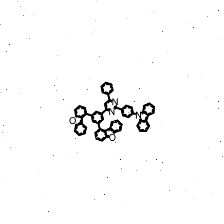 c1ccc(-c2cc(-c3cc(-c4cccc5oc6ccccc6c45)cc(-c4cccc5oc6ccccc6c45)c3)nc(-c3ccc(-n4c5ccccc5c5ccccc54)cc3)n2)cc1